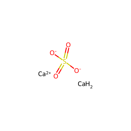 O=S(=O)([O-])[O-].[Ca+2].[CaH2]